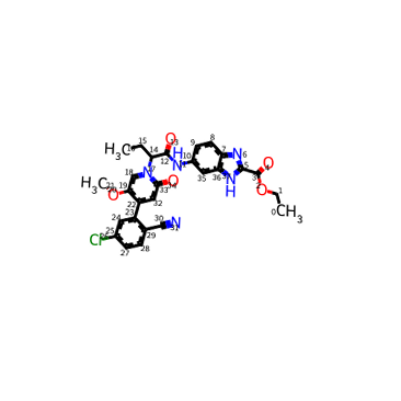 CCOC(=O)c1nc2ccc(NC(=O)C(CC)n3cc(OC)c(-c4cc(Cl)ccc4C#N)cc3=O)cc2[nH]1